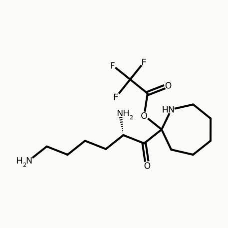 NCCCC[C@H](N)C(=O)C1(OC(=O)C(F)(F)F)CCCCCN1